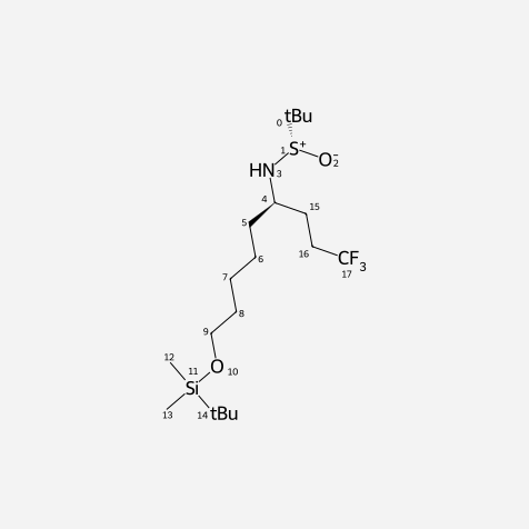 CC(C)(C)[S@+]([O-])N[C@H](CCCCCO[Si](C)(C)C(C)(C)C)CCC(F)(F)F